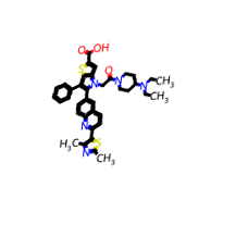 CCN(CC)C1CCN(C(=O)Cn2c(-c3ccc4nc(-c5sc(C)nc5C)ccc4c3)c(-c3ccccc3)c3sc(C(=O)O)cc32)CC1